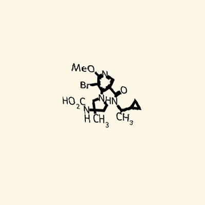 COc1ncc(C(=O)N[C@@H](C)C2CC2)c(N2CCC(C)(NC(=O)O)C2)c1Br